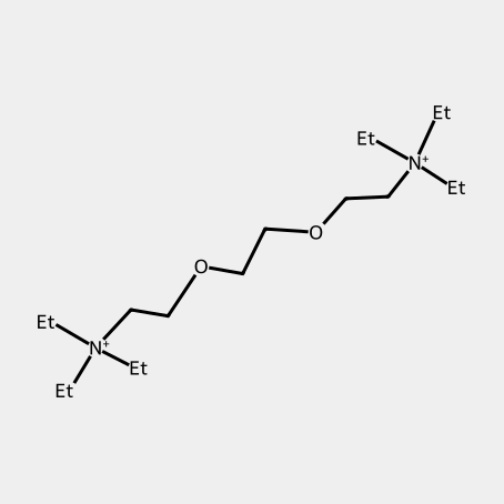 CC[N+](CC)(CC)CCOCCOCC[N+](CC)(CC)CC